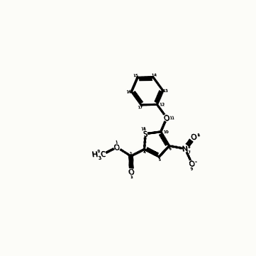 COC(=O)c1cc([N+](=O)[O-])c(Oc2ccccc2)s1